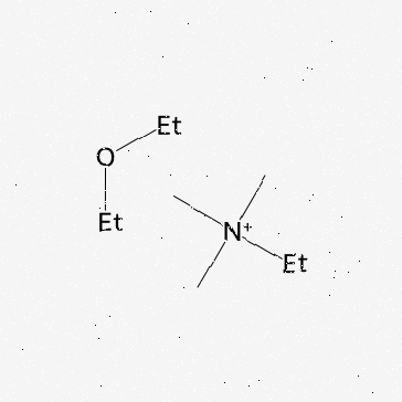 CCOCC.CC[N+](C)(C)C